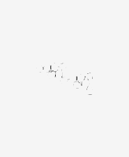 c1ccc(Oc2cccc(Oc3cccc(Oc4cccc(Oc5ccccc5)c4Oc4ccccc4)c3)c2Oc2ccccc2)cc1